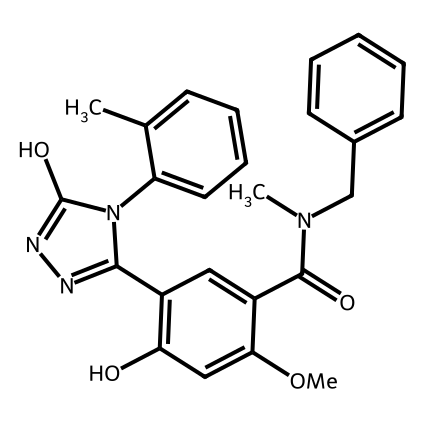 COc1cc(O)c(-c2nnc(O)n2-c2ccccc2C)cc1C(=O)N(C)Cc1ccccc1